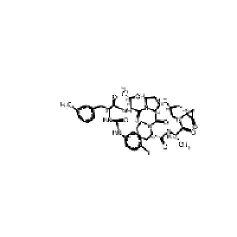 Cc1cccc(C[C@H](NC(=O)Nc2ccc(I)cc2)C(=O)N[C@H](C(=O)N2CCC[C@H]2C(=O)N2CCCC[C@H]2C(=O)N[C@@H](C)C(=O)N2C[C@@H](C)C[C@@]23CC3=O)[C@H](C)O)c1